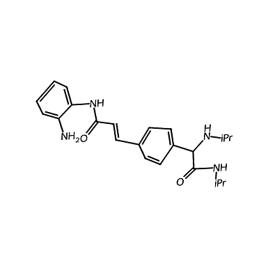 CC(C)NC(=O)C(NC(C)C)c1ccc(/C=C/C(=O)Nc2ccccc2N)cc1